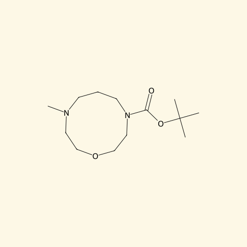 CN1CCCN(C(=O)OC(C)(C)C)CCOCC1